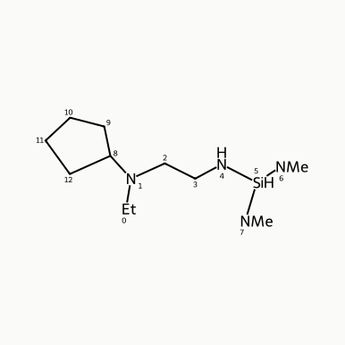 CCN(CCN[SiH](NC)NC)C1CCCC1